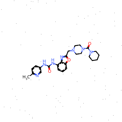 Cc1ccc(NC(=O)Nc2cccc3oc(CN4CCN(C(=O)N5CCCCC5)CC4)nc23)cn1